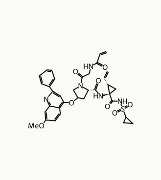 C=CC(=O)NCC(=O)N1CC(Oc2cc(-c3ccccc3)nc3cc(OC)ccc23)C[C@H]1C(=O)N[C@]1(C(=O)NS(=O)(=O)C2CC2)C[C@H]1C=C